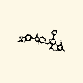 COC(=O)C1=C(CN2CCN3C(=O)N(c4ccc5[nH]c(C)nc5c4)C[C@@H]3C2)NC(c2nccs2)=N[C@H]1c1ccc(F)cc1Cl